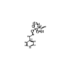 C=C[SiH2]C(OCC)(OCC)OCCc1ccccc1